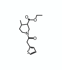 CCOC(=O)C1CN(C(=O)Cc2cccs2)CCC1C